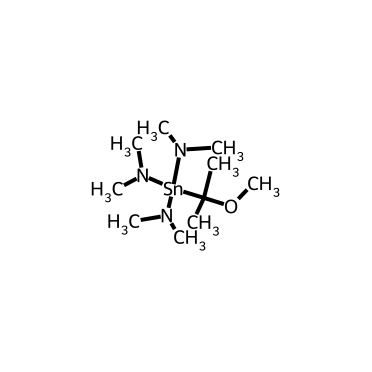 CO[C](C)(C)[Sn]([N](C)C)([N](C)C)[N](C)C